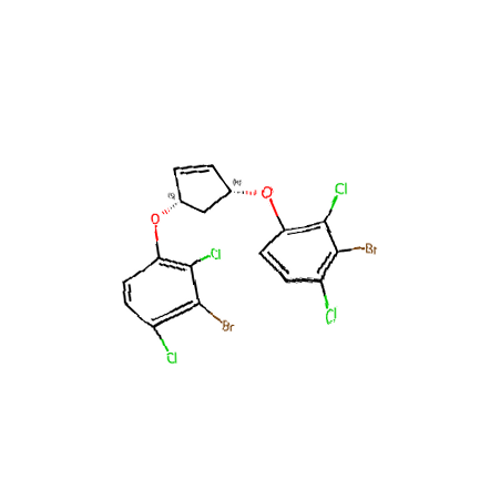 Clc1ccc(O[C@@H]2C=C[C@H](Oc3ccc(Cl)c(Br)c3Cl)C2)c(Cl)c1Br